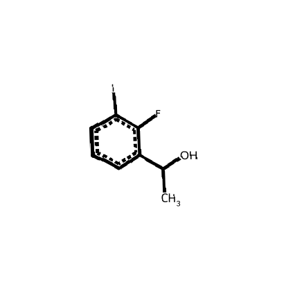 CC(O)c1cccc(I)c1F